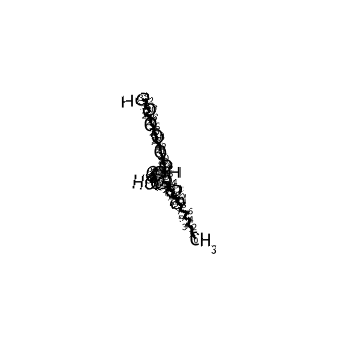 CCCCCCCCCOCCOCCOCCOCCOCCOCCOCCOCCO.O=S(=O)(O)O